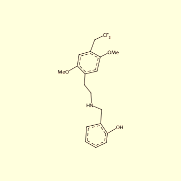 COc1cc(CC(F)(F)F)c(OC)cc1CCNCc1ccccc1O